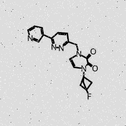 O=c1c(=O)n(C23CC(F)(C2)C3)ccn1Cc1ccc(-c2cccnc2)nn1